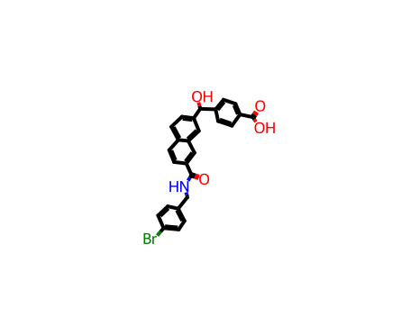 O=C(O)c1ccc(C(O)c2ccc3ccc(C(=O)NCc4ccc(Br)cc4)cc3c2)cc1